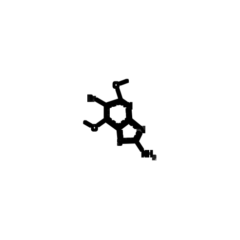 COc1nc2nc(N)sc2c(OC)c1Br